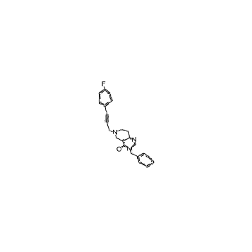 O=c1c2c(ncn1Cc1ccccc1)CCN(CC#Cc1ccc(F)cc1)C2